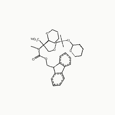 CN(C(=O)OCC1c2ccccc2-c2ccccc21)C(COCC(C)(C)OC1CCCCO1)(C(=O)O)C1CCCCO1